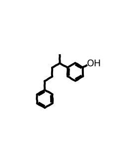 CC(CCCc1ccccc1)c1cccc(O)c1